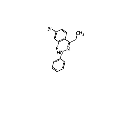 CCC(=NNc1ccccc1)c1ccc(Br)cc1F